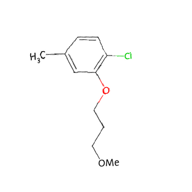 COCCCOc1cc(C)ccc1Cl